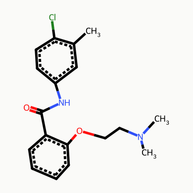 Cc1cc(NC(=O)c2ccccc2OCCN(C)C)ccc1Cl